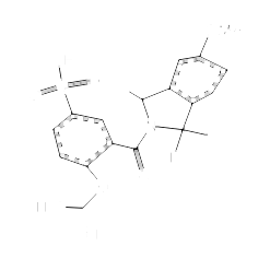 COc1ccc2c(c1)C(F)N(C(=O)c1cc(S(C)(=O)=O)ccc1O[C@@H](C)C(F)(F)F)C2(F)F